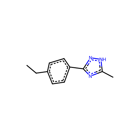 CCc1ccc(-c2n[nH]c(C)n2)cc1